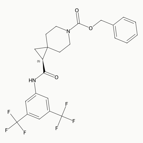 O=C(Nc1cc(C(F)(F)F)cc(C(F)(F)F)c1)[C@H]1CC12CCN(C(=O)OCc1ccccc1)CC2